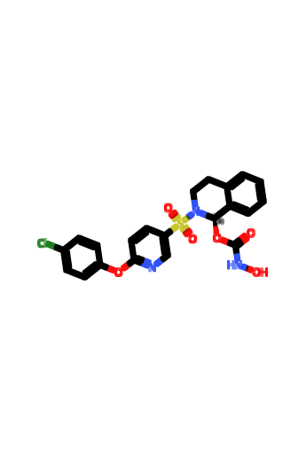 O=C(NO)O[C@@H]1c2ccccc2CCN1S(=O)(=O)c1ccc(Oc2ccc(Cl)cc2)nc1